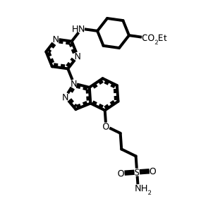 CCOC(=O)C1CCC(Nc2nccc(-n3ncc4c(OCCCS(N)(=O)=O)cccc43)n2)CC1